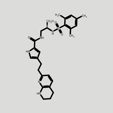 Cc1cc(C)c(S(=O)(=O)N[C@@H](CNC(=O)c2cc(CCc3ccc4c(n3)NCCC4)c[nH]2)C(=O)O)c(C)c1